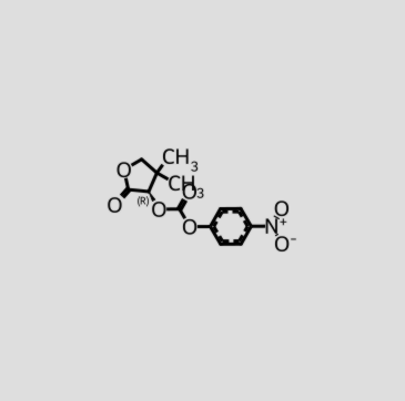 CC1(C)COC(=O)[C@@H]1OC(=O)Oc1ccc([N+](=O)[O-])cc1